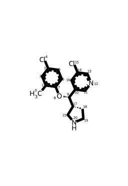 Cc1cc(Cl)ccc1O[C@H](c1cncc(Cl)c1)[C@@H]1CCNC1